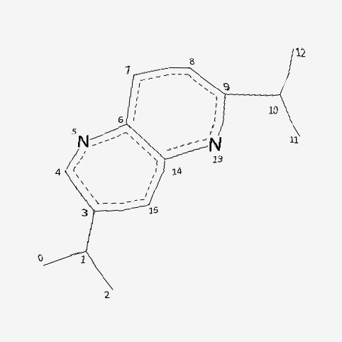 CC(C)c1cnc2ccc(C(C)C)nc2c1